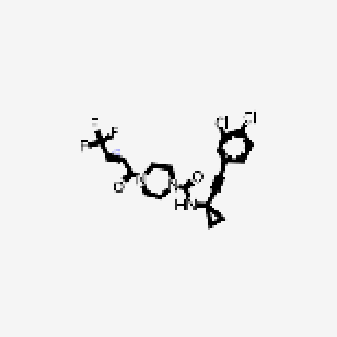 O=C(/C=C/C(F)(F)F)N1CCN(C(=O)NC2(C#Cc3ccc(Cl)c(Cl)c3)CC2)CC1